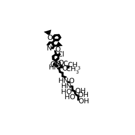 CC(C)(C)OC(=O)C(CCCCNC(=O)NCC(O)C(O)C(O)C(O)CO)NS(=O)(=O)c1ccc(COC2(c3cnccc3-c3ccccc3OC3CC3)CC2)c(Cl)c1